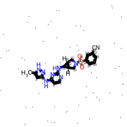 Cc1cc(Nc2ccnc(NC3[C@H]4CN(S(=O)(=O)c5cccc(C#N)c5)C[C@@H]34)n2)n[nH]1